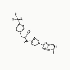 Cc1ncc2oc(-c3ccc(NC(=O)Cc4ccc(C(F)(F)F)cc4)cc3)nn12